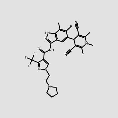 CC1=C(C#N)C(c2cc3c(NC(=O)c4cn(CCN5CCCC5)nc4C(F)(F)F)n[nH]c3c(C)c2F)C(C#N)=C(C)N1C